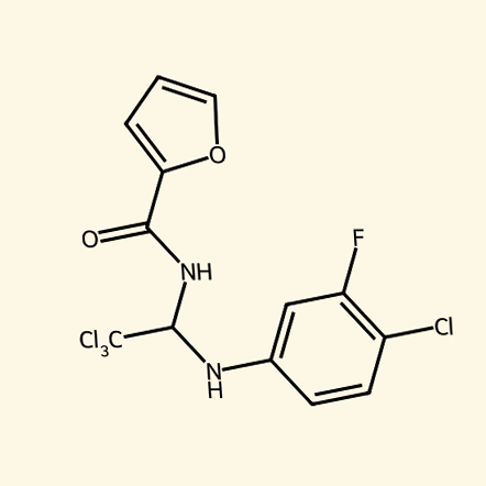 O=C(NC(Nc1ccc(Cl)c(F)c1)C(Cl)(Cl)Cl)c1ccco1